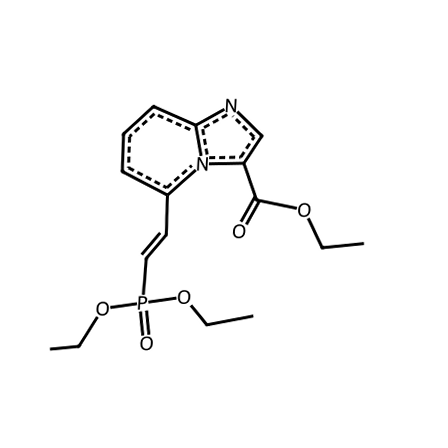 CCOC(=O)c1cnc2cccc(/C=C/P(=O)(OCC)OCC)n12